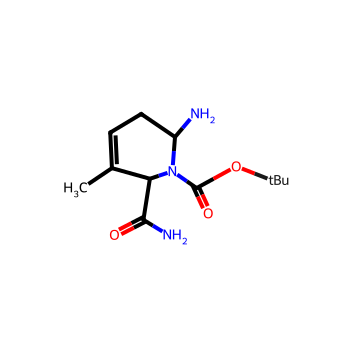 CC1=CCC(N)N(C(=O)OC(C)(C)C)C1C(N)=O